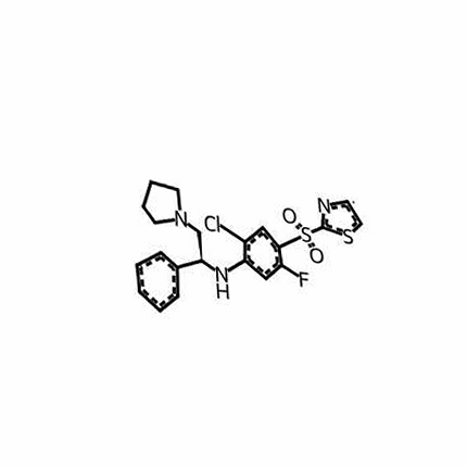 O=S(=O)(c1n[c]cs1)c1cc(Cl)c(N[C@H](CN2CCCC2)c2ccccc2)cc1F